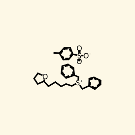 Cc1ccc(S(=O)(=O)[O-])cc1.c1ccc(C[S+](CCCCCC2CCCO2)Cc2ccccc2)cc1